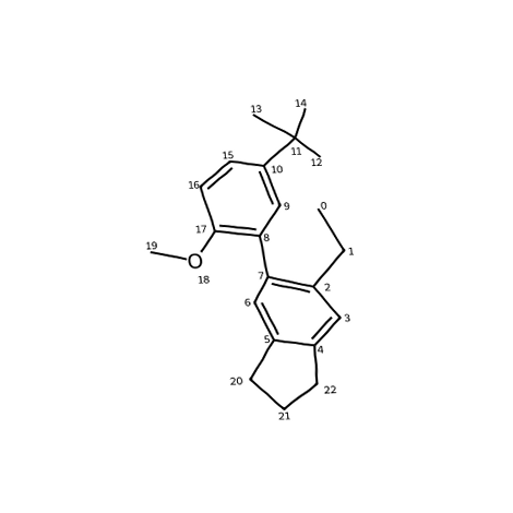 CCc1cc2c(cc1-c1cc(C(C)(C)C)ccc1OC)CCC2